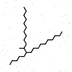 CCCCCCCCCC[C](CCCCC)C(C)CCCCCCCCCC